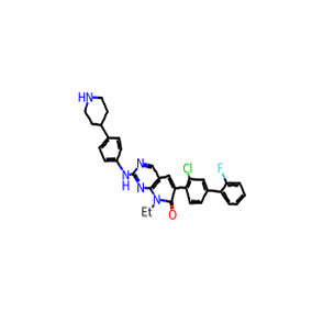 CCn1c(=O)c(-c2ccc(-c3ccccc3F)cc2Cl)cc2cnc(Nc3ccc(C4CCNCC4)cc3)nc21